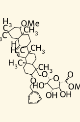 COC(=O)[C@H]1O[C@@H](OCC2(C)C3CC[C@]4(C)C(CC=C5[C@H]6CC(C)(C)C[C@@H](OC)[C@]6(C)CC[C@]54C)[C@@]3(C)CC[C@@H]2OCc2ccccc2)[C@H](O)[C@@H](O)[C@@H]1O